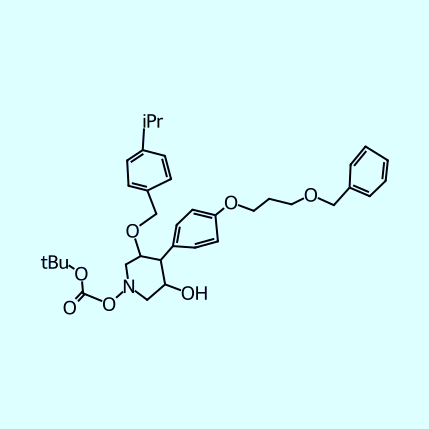 CC(C)c1ccc(COC2CN(OC(=O)OC(C)(C)C)CC(O)C2c2ccc(OCCCOCc3ccccc3)cc2)cc1